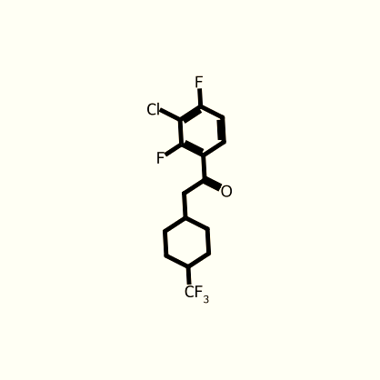 O=C(CC1CCC(C(F)(F)F)CC1)c1ccc(F)c(Cl)c1F